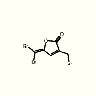 O=C1OC(=C(Br)Br)C=C1CBr